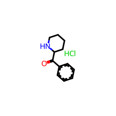 Cl.O=C(c1ccccc1)C1CCCCN1